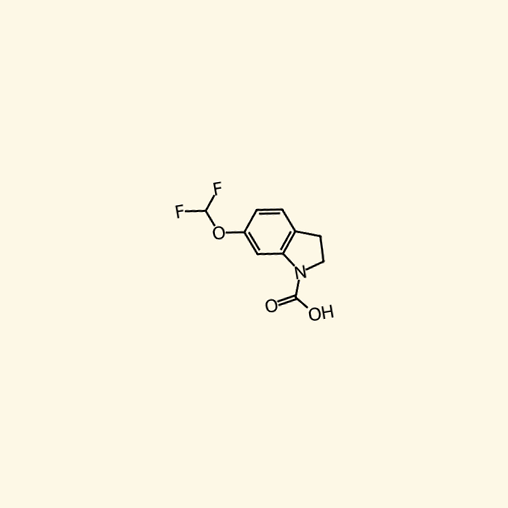 O=C(O)N1CCc2ccc(OC(F)F)cc21